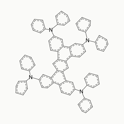 c1ccc(N(c2ccccc2)c2ccc3c(c2)c2cc(N(c4ccccc4)c4ccccc4)ccc2c2cc4c5cc(N(c6ccccc6)c6ccccc6)ccc5c5ccc(N(c6ccccc6)c6ccccc6)cc5c4cc32)cc1